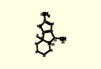 Bc1cc2c(s1)C1(C)CCCCN1C2O